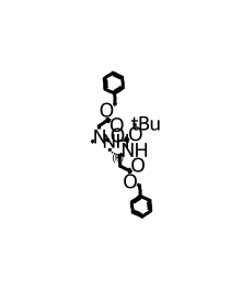 CN(CC(=O)OCc1ccccc1)NC[C@@H](CC(=O)OCc1ccccc1)NC(=O)OC(C)(C)C